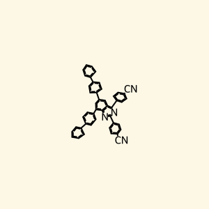 N#Cc1ccc(-c2nc(-c3ccc(C#N)cc3)c3cc(-c4ccc(-c5ccccc5)cc4)cc(-c4ccc(-c5ccccc5)cc4)c3n2)cc1